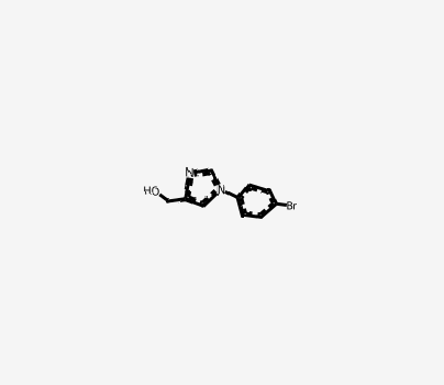 OCc1cn(-c2ccc(Br)cc2)cn1